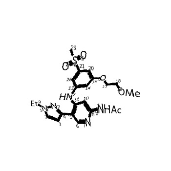 CCn1ccc(-c2cnc(NC(C)=O)cc2Nc2cc(OCCOC)cc(S(C)(=O)=O)c2)n1